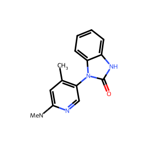 CNc1cc(C)c(-n2c(=O)[nH]c3ccccc32)cn1